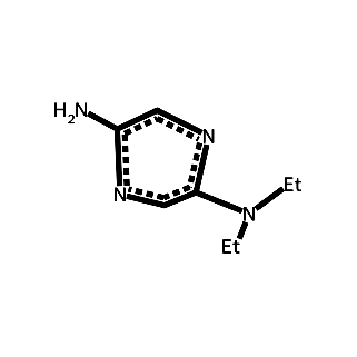 CCN(CC)c1cnc(N)cn1